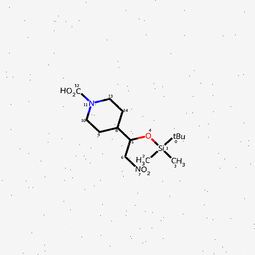 CC(C)(C)[Si](C)(C)OC(C[N+](=O)[O-])C1CCN(C(=O)O)CC1